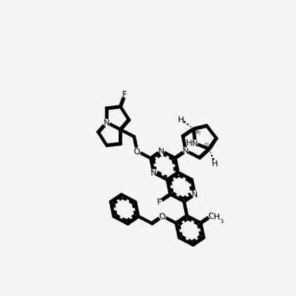 Cc1cccc(OCc2ccccc2)c1-c1ncc2c(N3C[C@H]4CC[C@@H](C3)N4)nc(OCC34CCCN3CC(F)C4)nc2c1F